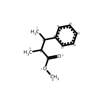 COC(=O)C(C)C(C)c1ccccc1